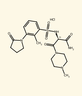 Cc1c(N2CCCC2=O)cccc1S(=O)(=O)N[C@@H](C(N)=O)C(=O)N1CCN(C)CC1.Cl